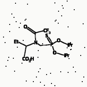 CCC(C(=O)O)N(CP(=S)(OC(C)C)OC(C)C)C(=O)C(F)(F)F